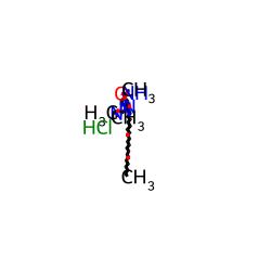 CCCCCCCCCCCCCCCCCCCCCc1nc2cc(C(=O)NC)ccc2n1CCN(C)C.Cl